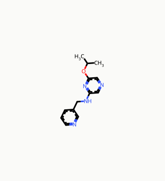 CC(C)Oc1cncc(NCc2cccnc2)n1